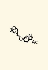 CC(=O)c1cnn2cc(OCCN3CCOC(C)(C)C3)ccc12